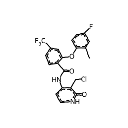 Cc1cc(F)ccc1Oc1cc(C(F)(F)F)ccc1C(=O)Nc1cc[nH]c(=O)c1CCl